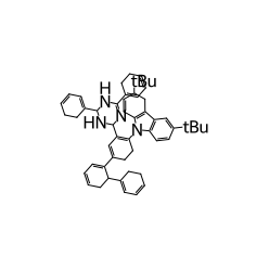 CC(C)(C)c1ccc2c(c1)c1c(n2C2=C(C3N=C(C4=CC=CCC4)NC(C4=CC=CCC4)N3)C=C(C3=CC=CCC3C3=CC=CCC3)CC2)C=CC(C(C)(C)C)C1